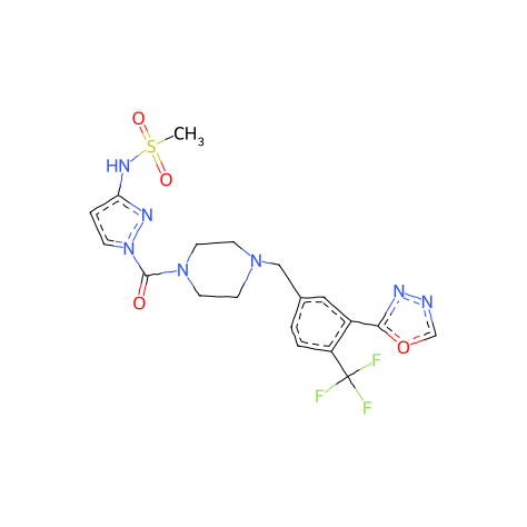 CS(=O)(=O)Nc1ccn(C(=O)N2CCN(Cc3ccc(C(F)(F)F)c(-c4nnco4)c3)CC2)n1